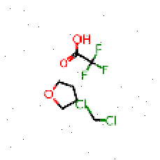 C1CCOC1.ClCCl.O=C(O)C(F)(F)F